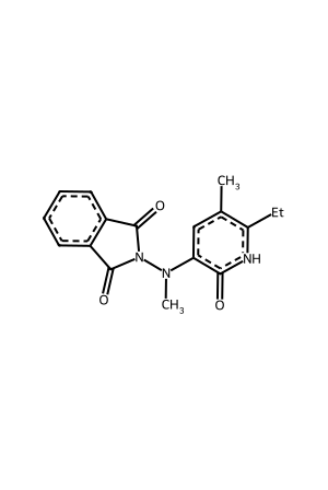 CCc1[nH]c(=O)c(N(C)N2C(=O)c3ccccc3C2=O)cc1C